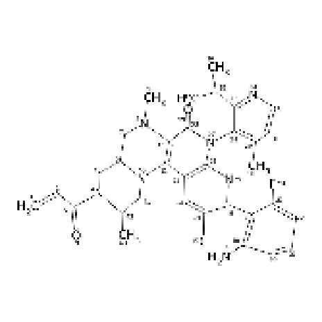 C=CC(=O)N1CC2CN(C)c3c(c4cc(Cl)c(-c5c(N)cccc5F)nc4n(-c4c(C)ccnc4C(C)C)c3=O)N2CC1C